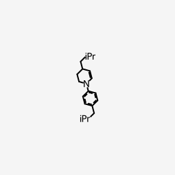 CC(C)Cc1ccc(N2C=CC(CC(C)C)CC2)cc1